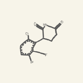 O=C1CCC(c2c(Cl)ccc(Br)c2F)C(=O)N1